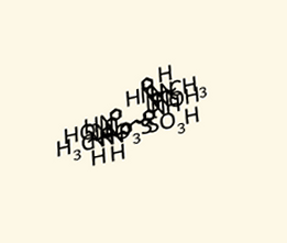 CC(CO)Nc1nc(NC2=CC=C(C=Cc3ccc(Nc4nc(Nc5ccccc5)nc(NC(C)CO)n4)cc3)C(S(=O)(=O)O)(S(=O)(=O)O)C2)nc(Nc2ccccc2)n1